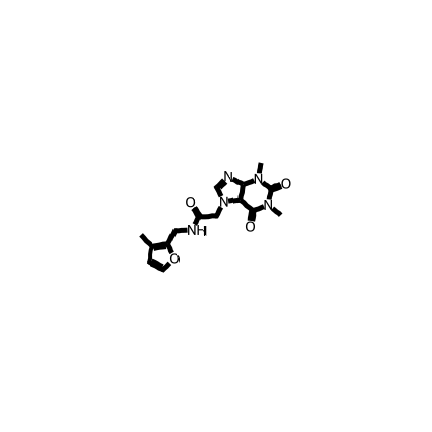 Cc1ccoc1CNC(=O)CN1C=NC2C1C(=O)N(C)C(=O)N2C